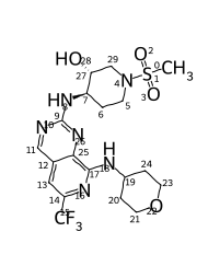 CS(=O)(=O)N1CC[C@@H](Nc2ncc3cc(C(F)(F)F)nc(NC4CCOCC4)c3n2)[C@H](O)C1